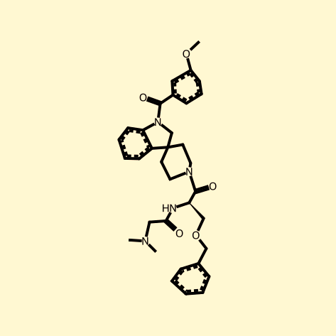 COc1cccc(C(=O)N2CC3(CCN(C(=O)[C@@H](COCc4ccccc4)NC(=O)CN(C)C)CC3)c3ccccc32)c1